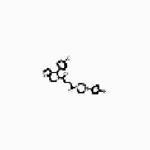 O=C(CCC(=O)N1CCc2sccc2C1c1ccc(Cl)cc1)N1CCN(c2ccc(F)cc2)CC1